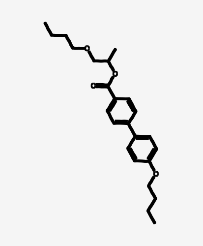 CCCCOCC(C)OC(=O)c1ccc(-c2ccc(OCCCC)cc2)cc1